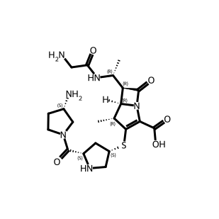 C[C@@H](NC(=O)CN)[C@H]1C(=O)N2C(C(=O)O)=C(S[C@@H]3CN[C@H](C(=O)N4CC[C@H](N)C4)C3)[C@H](C)[C@@H]12